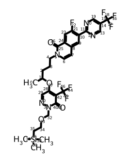 CC(CCCn1ccc2cc(-c3ncc(C(F)(F)F)cn3)c(F)cc2c1=O)Oc1cnn(COCC[Si](C)(C)C)c(=O)c1C(F)(F)F